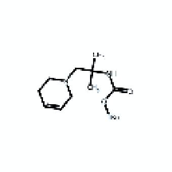 CC(C)(CN1CC=CCC1)NC(=O)OC(C)(C)C